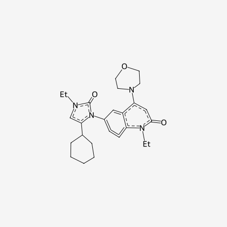 CCn1cc(C2CCCCC2)n(C2=C=C=c3c(c(N4CCOCC4)cc(=O)n3CC)=C2)c1=O